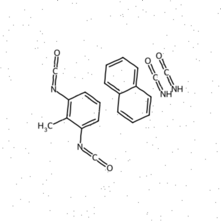 Cc1c(N=C=O)cccc1N=C=O.N=C=O.N=C=O.c1ccc2ccccc2c1